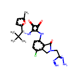 Cc1ccc([C@H](Nc2c(Nc3ccc(Cl)c4c3C(=O)N(C/C(N=N)=N/N)C4)c(=O)c2=O)C(C)(C)C)o1